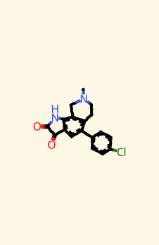 CN1CCc2c(-c3ccc(Cl)cc3)cc3c(c2C1)NC(=O)C3=O